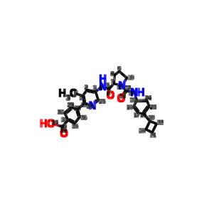 Cc1cc(NC(=O)[C@H]2CCCN2C(=O)Nc2ccc(C3CCC3)cc2)cnc1-c1ccc(C(=O)O)cc1